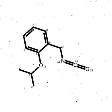 CC(C)Oc1ccccc1CN=C=O